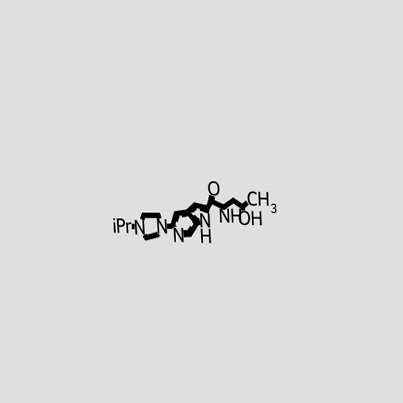 CC(O)CC(=N)C(=O)c1cc2cc(N3CCN(C(C)C)CC3)ncc2[nH]1